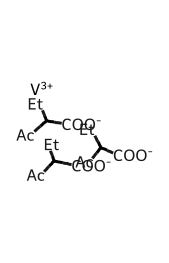 CCC(C(C)=O)C(=O)[O-].CCC(C(C)=O)C(=O)[O-].CCC(C(C)=O)C(=O)[O-].[V+3]